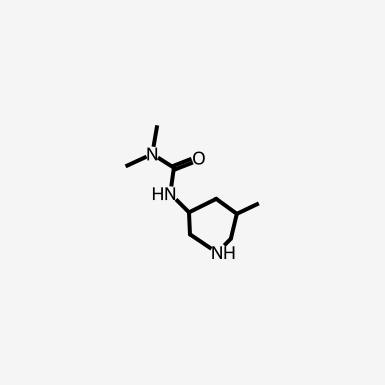 CC1CNCC(NC(=O)N(C)C)C1